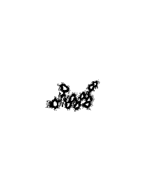 c1ccc(-c2nc(-c3ccccc3)nc(-c3cccc4c(-n5c6ccccc6c6c7c8c9ccccc9ccc8n(-c8ccc9ccccc9c8)c7ccc65)cccc34)n2)cc1